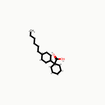 CCCCCCC1CCC(C2(C(=O)O)CCCCC2)CC1